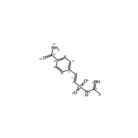 CC(=N)NS(=O)(=O)/C=C/c1ccc(C(N)=O)cc1